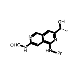 CC(C)Nc1nc([C@@H](C)O)cc2cnc(NC=O)cc12